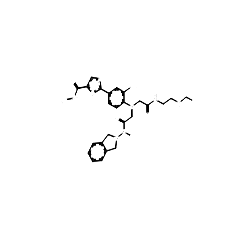 CCNCCNC(=O)CN(CC(=O)N(C)N1Cc2ccccc2C1)c1ccc(-c2ncc(C(=O)NC)s2)cc1C